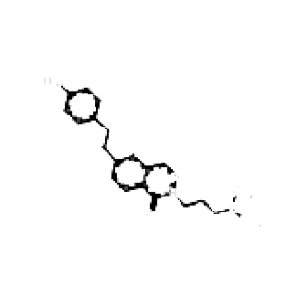 CN(C)CCCn1ncc2cc(CCc3ccc(O)cc3)ccc2c1=O